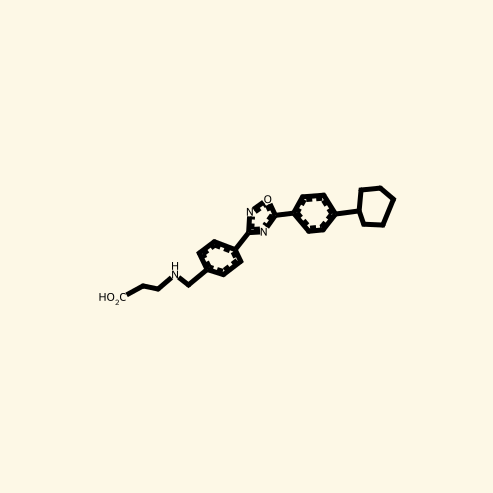 O=C(O)CCNCc1ccc(-c2noc(-c3ccc(C4CCCCC4)cc3)n2)cc1